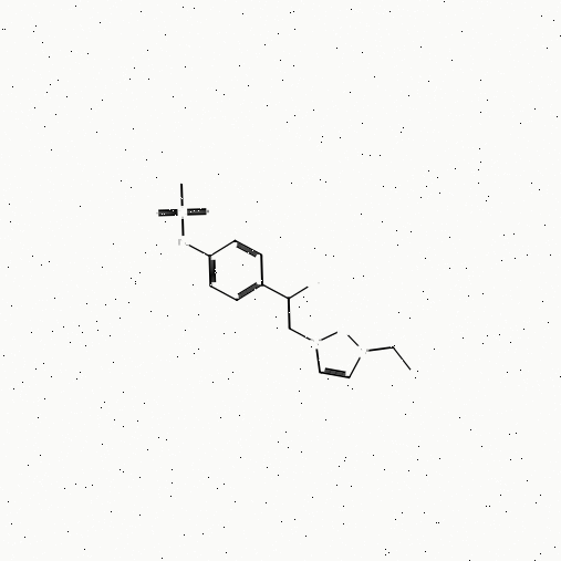 CCN1[C+]N(CC(O)c2ccc(NS(C)(=O)=O)cc2)C=C1.[Cl-]